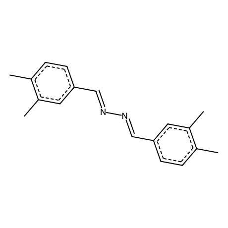 Cc1ccc(C=NN=Cc2ccc(C)c(C)c2)cc1C